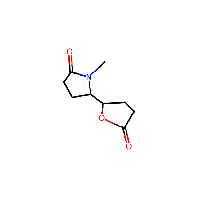 CN1C(=O)CCC1C1CCC(=O)O1